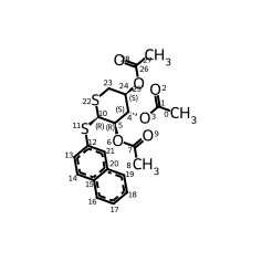 CC(=O)O[C@@H]1[C@@H](OC(C)=O)[C@@H](Sc2ccc3ccccc3c2)SC[C@H]1OC(C)=O